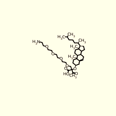 CC(=O)C(COCCOCCOCCOCCN)(O[C@H]1CC[C@@]2(C)C(=CCC3C2CC[C@@]2(C)C3CC[C@@H]2[C@H](C)CCCC(C)C)C1)C(=O)O